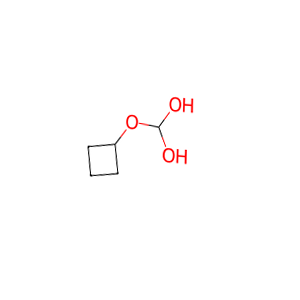 OC(O)OC1CCC1